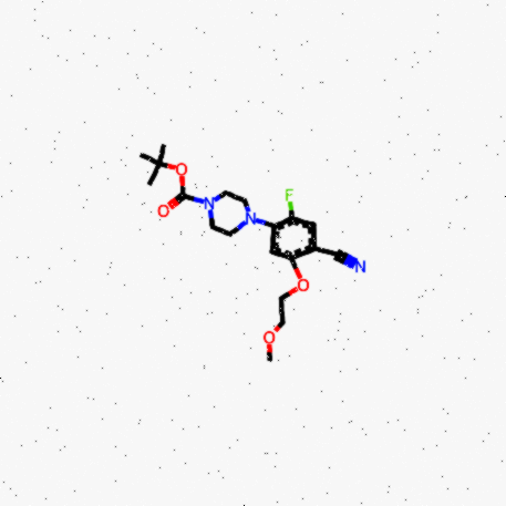 COCCOc1cc(N2CCN(C(=O)OC(C)(C)C)CC2)c(F)cc1C#N